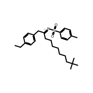 CCc1ccc(C/C(CCCCCCCC(C)(C)C)=N/S(=O)(=O)c2ccc(C)cc2)cc1